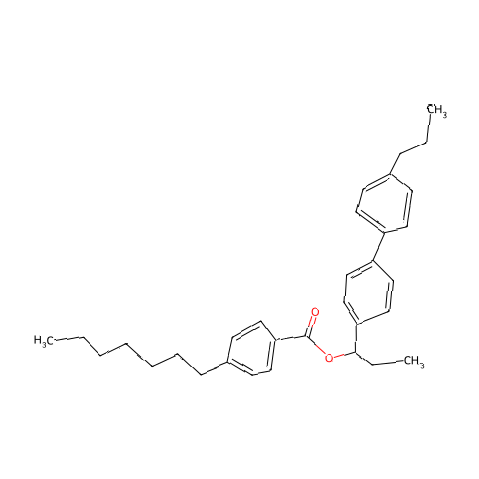 CCCCCCCc1ccc(C(=O)OC(CC)c2ccc(-c3ccc(CCC)cc3)cc2)cc1